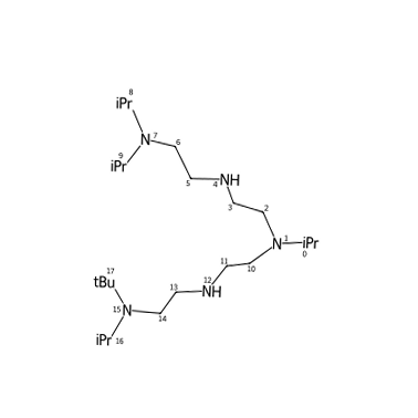 CC(C)N(CCNCCN(C(C)C)C(C)C)CCNCCN(C(C)C)C(C)(C)C